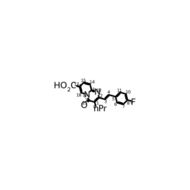 CCCc1c(C=Cc2ccc(F)cc2)nc2ccc(C(=O)O)cn2c1=O